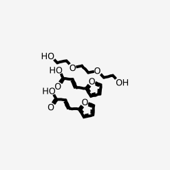 O=C(O)C=Cc1ccco1.O=C(O)C=Cc1ccco1.OCCOCCOCCO